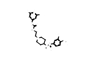 COc1ccc(S(=O)(=O)N(C)C2CCN(CCNC(=O)Nc3cc(C)nc(C)c3)CC2)cc1OC